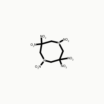 O=[N+]([O-])N1CC([N+](=O)[O-])([N+](=O)[O-])CN([N+](=O)[O-])CC([N+](=O)[O-])([N+](=O)[O-])C1